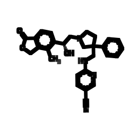 Cc1c([C@@H](O)CN2CCC(CNc3ccc(C#N)cn3)(c3ccccc3)C2)ccc2c1COC2=O